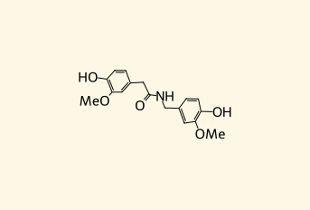 COc1cc(CNC(=O)Cc2ccc(O)c(OC)c2)ccc1O